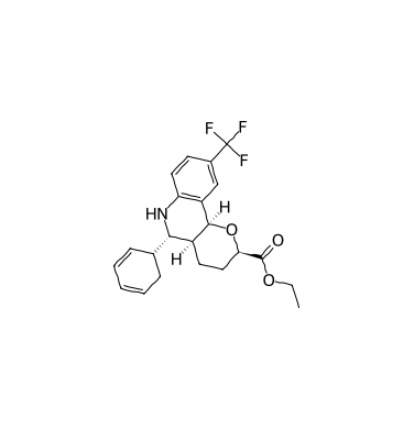 CCOC(=O)[C@H]1CC[C@@H]2[C@H](O1)c1cc(C(F)(F)F)ccc1N[C@H]2C1C=CC=CC1